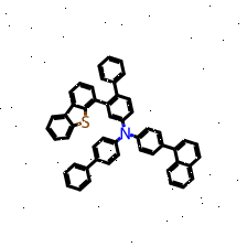 c1ccc(-c2ccc(N(c3ccc(-c4cccc5ccccc45)cc3)c3ccc(-c4ccccc4)c(-c4cccc5c4sc4ccccc45)c3)cc2)cc1